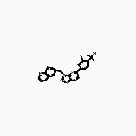 CC(C)(O)c1ccc(-c2ccc3nnn(Cc4ccc5ncccc5c4)c3n2)cc1F